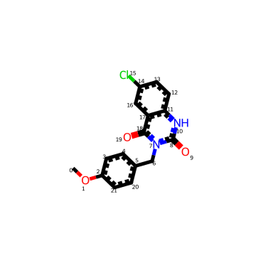 COc1ccc(Cn2c(=O)[nH]c3ccc(Cl)cc3c2=O)cc1